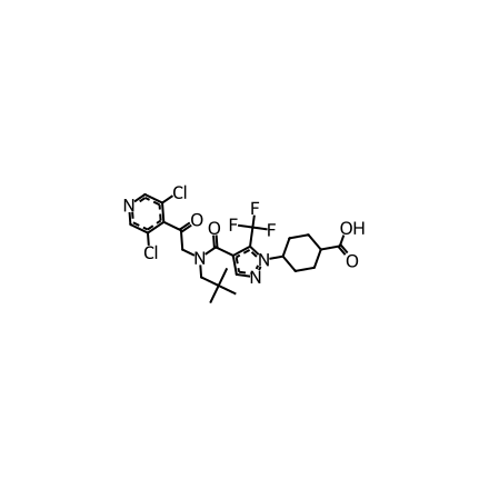 CC(C)(C)CN(CC(=O)c1c(Cl)cncc1Cl)C(=O)c1cnn(C2CCC(C(=O)O)CC2)c1C(F)(F)F